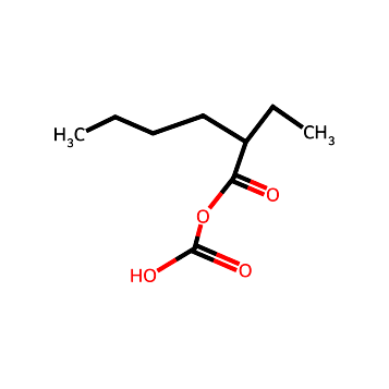 CCCCC(CC)C(=O)OC(=O)O